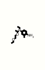 CCOCCOC(C)N(CC)c1ccc(N)c(C)c1